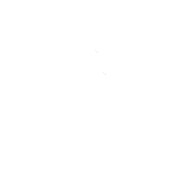 Clc1ccc(C(Cl)n2c(Cl)nc3ccccc32)cc1